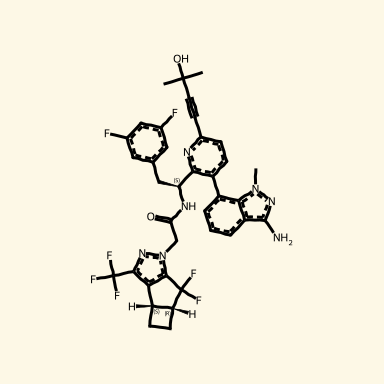 Cn1nc(N)c2cccc(-c3ccc(C#CC(C)(C)O)nc3[C@H](Cc3cc(F)cc(F)c3)NC(=O)Cn3nc(C(F)(F)F)c4c3C(F)(F)[C@@H]3CC[C@H]43)c21